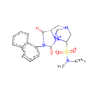 CN(C)S(=O)(=O)C1CN2CC3C(=O)N(c4cccc5ccccc45)C(=O)[N+]31C2